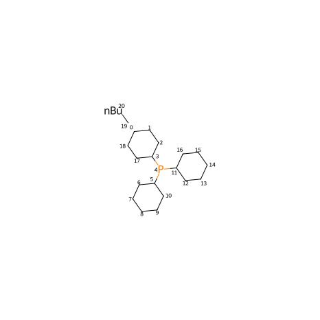 C1CCC(P(C2CCCCC2)C2CCCCC2)CC1.CCCCC